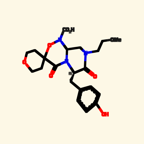 COCCN1CC2N(C(=O)O)OC3(CCOCC3)C(=O)N2[C@@H](Cc2ccc(O)cc2)C1=O